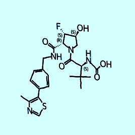 Cc1ncsc1-c1ccc(CNC(=O)[C@@H]2[C@H](F)[C@@H](O)CN2C(=O)[C@@H](NC(=O)O)C(C)(C)C)cc1